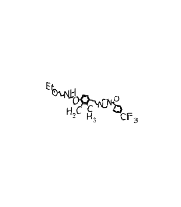 CCOCCNCCOc1ccc(CCN2CCN(C(=O)c3ccc(C(F)(F)F)cc3)CC2)c(C)c1C